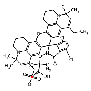 CCC1=CC(C)(C)N2CCCc3c4c(cc1c32)C1(c2cc3c5c(c2O4)CCCN5C(C)(C)C=C3CS(=O)(=O)O)c2c(Cl)ccc(Cl)c2C(=O)N1OC(C)(C)C(=O)O